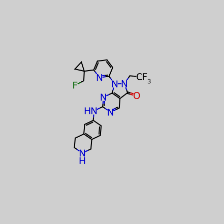 O=c1c2cnc(Nc3ccc4c(c3)CCNC4)nc2n(-c2cccc(C3(CF)CC3)n2)n1CC(F)(F)F